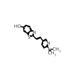 CN(C)c1ccc(/C=C/c2nc3ccc(O)cc3s2)cn1